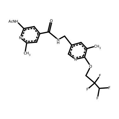 CC(=O)Nc1cc(C(=O)NCc2cnc(OCC(F)(F)C(F)F)c(C)c2)cc(C)n1